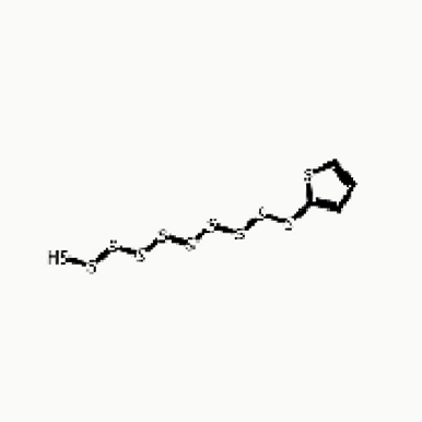 SSSSSSSSSSc1cccs1